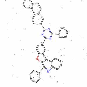 c1ccc(-c2nc(-c3ccc4c(ccc5ccccc54)c3)nc(-c3ccc4oc5c(-c6ccccc6)nc6ccccc6c5c4c3)n2)cc1